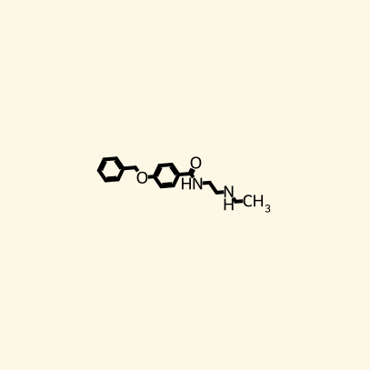 CCNCCNC(=O)c1ccc(OCc2ccccc2)cc1